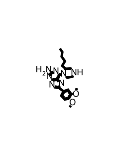 CCCCCC1CNCCN1c1nc(N)nc2ncc(-c3ccc(OC)c(OC)c3)nc12